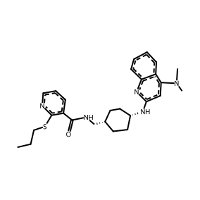 CCCSc1ncccc1C(=O)NC[C@H]1CC[C@@H](Nc2cc(N(C)C)c3ccccc3n2)CC1